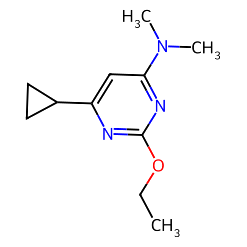 CCOc1nc(C2CC2)cc(N(C)C)n1